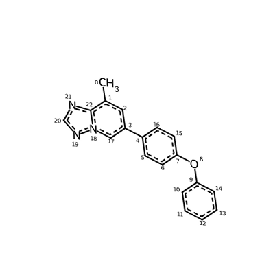 Cc1cc(-c2ccc(Oc3ccccc3)cc2)cn2ncnc12